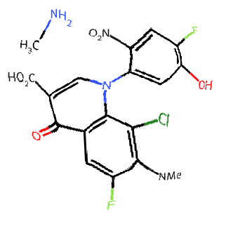 CN.CNc1c(F)cc2c(=O)c(C(=O)O)cn(-c3cc(O)c(F)cc3[N+](=O)[O-])c2c1Cl